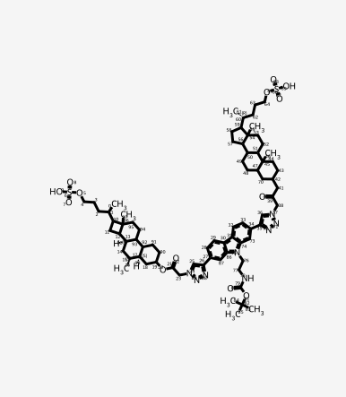 CC(CCCOS(=O)(=O)O)C1CC2[C@@H]3C[C@H](C)[C@@H]4CC(OC(=O)Cn5cc(-c6ccc7c8ccc(-c9cn(CC(=O)CC%10CCC%11(C)C(CCC%12C%11CCC%11(C)C%12CCC%11[C@H](C)CCCOS(=O)(=O)O)C%10)nn9)cc8n(CCNC(=O)OC(C)(C)C)c7c6)nn5)CCC4C3CCC12C